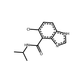 CC(C)NC(=O)c1c(Cl)ccc2[nH]cnc12